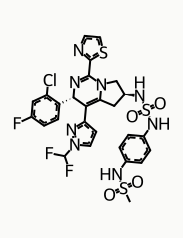 CS(=O)(=O)Nc1ccc(NS(=O)(=O)N[C@H]2CC3=C(c4ccn(C(F)F)n4)[C@H](c4ccc(F)cc4Cl)N=C(c4nccs4)N3C2)cc1